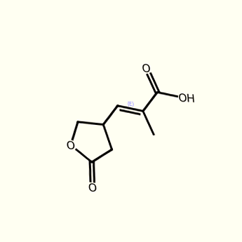 C/C(=C\C1COC(=O)C1)C(=O)O